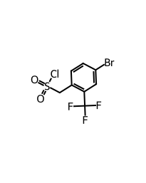 O=S(=O)(Cl)Cc1ccc(Br)cc1C(F)(F)F